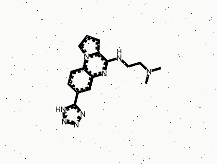 CN(C)CCNc1nc2cc(-c3nnn[nH]3)ccc2n2cccc12